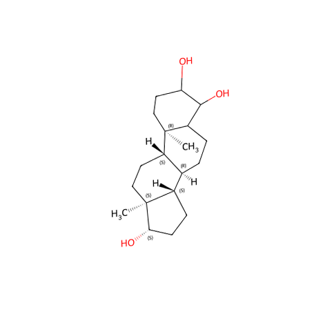 C[C@]12CC[C@H]3[C@@H](CCC4C(O)C(O)CC[C@@]43C)[C@@H]1CC[C@@H]2O